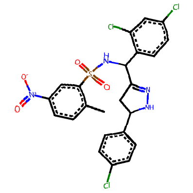 Cc1ccc([N+](=O)[O-])cc1S(=O)(=O)NC(C1=NNC(c2ccc(Cl)cc2)C1)c1ccc(Cl)cc1Cl